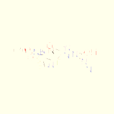 CN1CCN([C@H]2CN(c3ncc4c5c(c(-c6ncc(F)c7sc(NC(=O)OC(C)(C)C)c(C#N)c67)c(F)c4n3)COC5)C[C@@H]2O)CC1